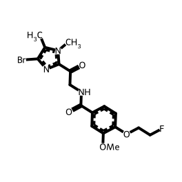 COc1cc(C(=O)NCC(=O)c2nc(Br)c(C)n2C)ccc1OCCF